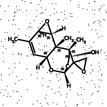 CC1=C[C@H]2O[C@@H]3C[C@@H](O)[C@@](C)(C34CO4)[C@@]2(C)[C@@H]2O[C@H]12